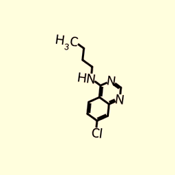 CCCCNc1ncnc2cc(Cl)ccc12